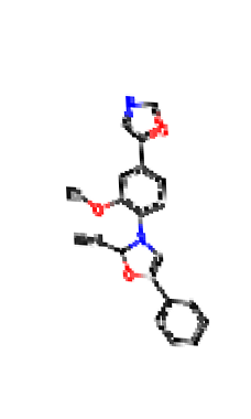 CCOc1cc(-c2cnco2)ccc1N1C=C(c2ccccc2)OC1NC